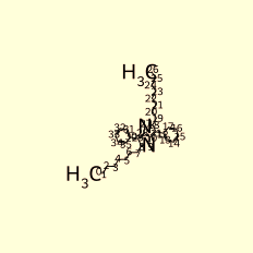 CCCCCCCCC1=NC2=C(c3ccccc3)C(CCCCCCCC)=NC2=C1c1ccccc1